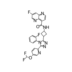 O=C(NC1CC(c2nnc(-c3ccc(OC(F)F)cn3)n2-c2ccccc2F)C1)c1ccnc2cc(F)cnc12